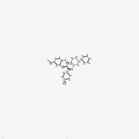 COc1ccc(CN(C(=O)Nc2ccc(Cl)cc2)C2CCC(c3ccccc3)CC2)cc1